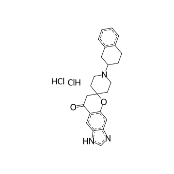 Cl.Cl.O=C1CC2(CCN(C3CCc4ccccc4C3)CC2)Oc2cc3nc[nH]c3cc21